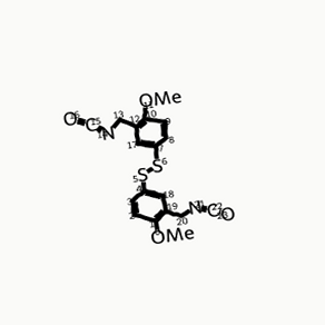 COc1ccc(SSc2ccc(OC)c(CN=C=O)c2)cc1CN=C=O